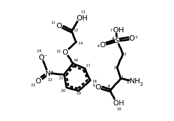 NC(CCS(=O)(=O)O)C(=O)O.O=C(O)COc1ccccc1[N+](=O)[O-]